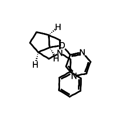 c1ccc(CN2C[C@H]3CC[C@@H](C2)[C@H]3Oc2cnccn2)cc1